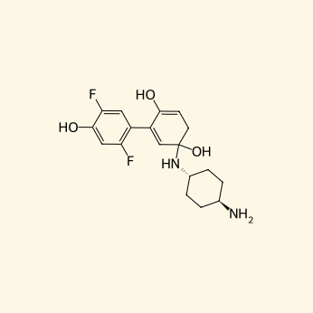 N[C@H]1CC[C@H](NC2(O)C=C(c3cc(F)c(O)cc3F)C(O)=CC2)CC1